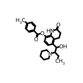 CCC(C(O)c1ccc(OC(=O)c2ccc(C)cc2)c2c1CCC(=O)N2)N1CCCCC1